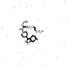 CCCCOC(=O)NN1CCC(c2noc3cc(F)ccc23)CC1.O=C(O)/C=C/C(=O)O